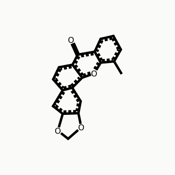 Cc1cccc2c(=O)c3ccc4cc5c(cc4c3oc12)OCO5